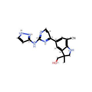 CC1(CO)CNc2c(C#N)cc(-c3ccnc(Nc4cc[nH]n4)n3)cc21